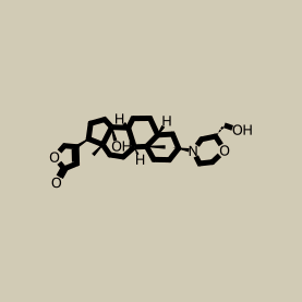 C[C@]12CC[C@H](N3CCO[C@@H](CO)C3)C[C@H]1CC[C@@H]1[C@@H]2CC[C@]2(C)[C@@H](C3=CC(=O)OC3)CC[C@]12O